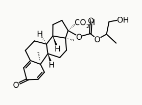 CC(CO)OC(=O)O[C@]1(C(=O)O)CC[C@H]2[C@@H]3CCC4=CC(=O)C=C[C@]4(C)[C@H]3CC[C@@]21C